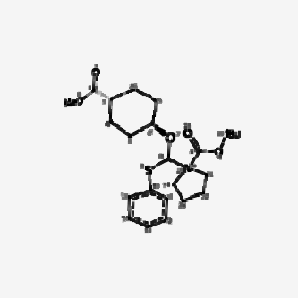 COC(=O)[C@H]1CC[C@H](OC(Sc2ccccc2)[N+]2(C(=O)OC(C)(C)C)CCCC2)CC1